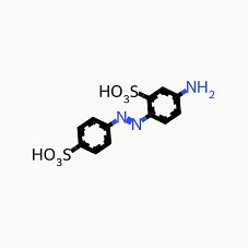 Nc1ccc(N=Nc2ccc(S(=O)(=O)O)cc2)c(S(=O)(=O)O)c1